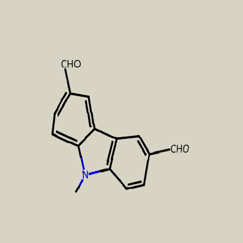 Cn1c2ccc(C=O)cc2c2cc(C=O)ccc21